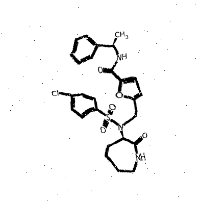 C[C@@H](NC(=O)c1ccc(CN([C@@H]2CCCCNC2=O)S(=O)(=O)c2ccc(Cl)cc2)o1)c1ccccc1